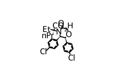 CCC[C@](CC)(C(=O)O)N1C(=O)CO[C@@H](c2ccc(Cl)cc2)[C@H]1c1ccc(Cl)cc1